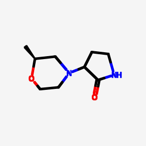 C[C@H]1CN(C2CCNC2=O)CCO1